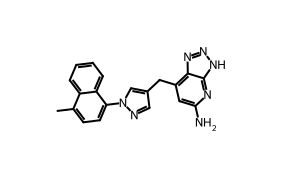 Cc1ccc(-n2cc(Cc3cc(N)nc4[nH]nnc34)cn2)c2ccccc12